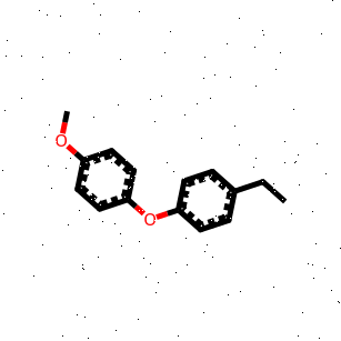 CCc1ccc(Oc2ccc(OC)cc2)cc1